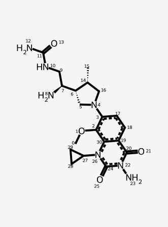 COc1c(N2C[C@H]([C@@H](N)CNC(N)=O)[C@H](C)C2)ccc2c(=O)n(N)c(=O)n(C3CC3)c12